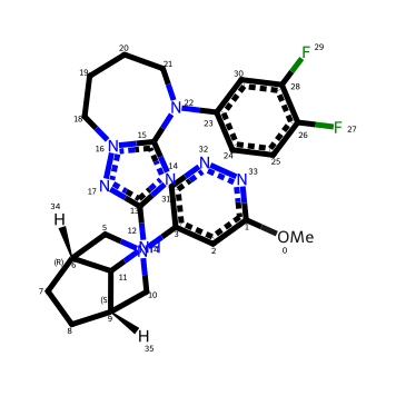 COc1cc(N2C[C@H]3CC[C@@H](C2)C3Nc2nc3n(n2)CCCCN3c2ccc(F)c(F)c2)cnn1